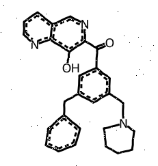 O=C(c1cc(Cc2ccccc2)cc(CN2CCCCC2)c1)c1ncc2cccnc2c1O